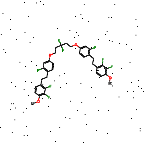 CCOc1ccc(CCc2ccc(OCCC(F)(F)CCOc3ccc(CCc4ccc(OCC)c(F)c4F)c(F)c3)cc2F)c(F)c1F